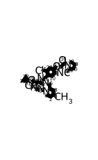 Cc1ccnc(Cn2c(-c3ccc(OCC(=O)N4CCC[C@H]4C#N)cc3Cl)nc3c(OC4(C)CC4)ncnc32)c1